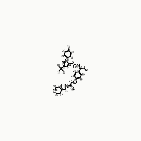 CC/C(=N/OCc1cc(C(C)(C)C)nn1-c1ccc(C)cc1)c1ccc(OCC(=O)NCC2CCOCC2)cc1